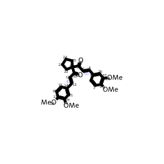 COc1ccc(/C=C/C(=O)C2(C(=O)/C=C/c3ccc(OC)c(OC)c3)CCCC2)cc1OC